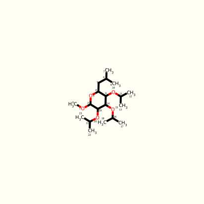 COC1OC(CC(C)C)C(OC(C)C)C(OC(C)C)C1OC(C)C